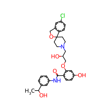 CC(O)c1cccc(NC(=O)c2ccc(O)cc2OC[C@@H](O)CN2CCC3(CC2)OCc2cc(Cl)ccc23)c1